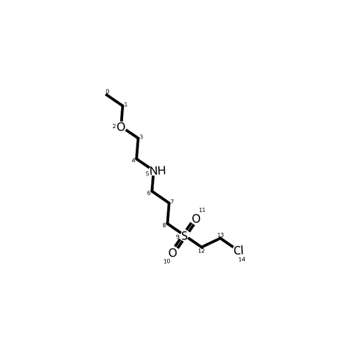 CCOCCNCCCS(=O)(=O)CCCl